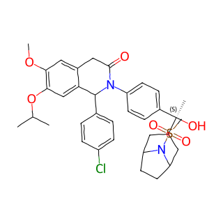 COc1cc2c(cc1OC(C)C)C(c1ccc(Cl)cc1)N(c1ccc([C@@](C)(O)C3CC4CCC(C3)N4S(C)(=O)=O)cc1)C(=O)C2